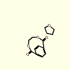 C1CCOC1.O=C1OCCOC(=O)c2ccc1cc2